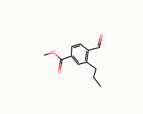 CCCc1cc(C(=O)OC)ccc1C=O